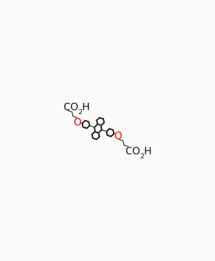 O=C(O)CCCCOc1ccc(-c2c3ccccc3c(-c3ccc(OCCCCC(=O)O)cc3)c3ccccc23)cc1